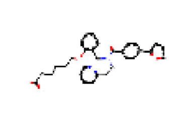 [2H]C(Cc1ccccn1)N(Cc1ccccc1OCCCCCC(=O)O)C(=O)c1ccc(-c2ccco2)cc1